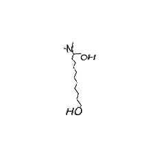 CN(C)C(CO)CCCCCCCCCCO